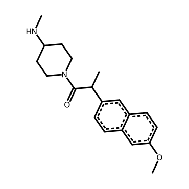 CNC1CCN(C(=O)C(C)c2ccc3cc(OC)ccc3c2)CC1